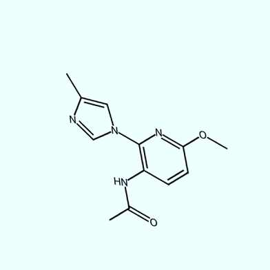 COc1ccc(NC(C)=O)c(-n2cnc(C)c2)n1